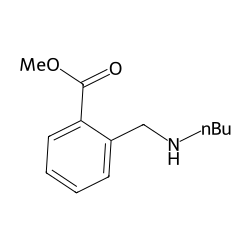 CCCCNCc1ccccc1C(=O)OC